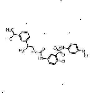 C=C(C)c1cccc(C(C)CNC(=O)Nc2ccc(Cl)c(S(=O)(=O)Nc3ccc(OCC)cc3)c2)c1